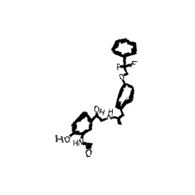 CC(Cc1ccc(OCC(F)(F)c2ccccc2)cc1)NCC(O)c1ccc(O)c(NC=O)c1